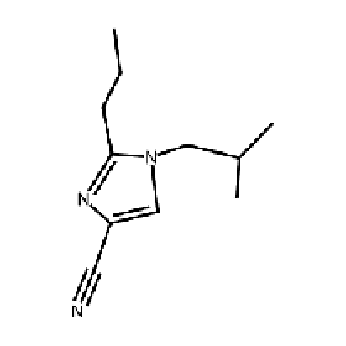 CCCc1nc(C#N)cn1CC(C)C